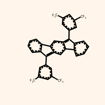 FC(F)(F)c1cc(C2=c3cc4c(cc3-c3ccccc32)=C(c2cc(C(F)(F)F)cc(C(F)(F)F)c2)c2ccccc2-4)cc(C(F)(F)F)c1